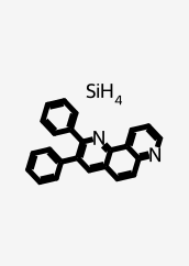 [SiH4].c1ccc(-c2cc3ccc4ncccc4c3nc2-c2ccccc2)cc1